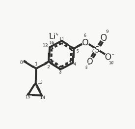 CC(c1ccc(OS(=O)(=O)[O-])cc1)C1CC1.[Li+]